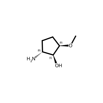 CO[C@@H]1CC[C@@H](N)[C@@H]1O